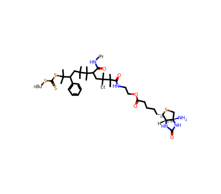 CCCCSC(=S)SC(C)(C)C(CC(C)(C)C(C)(C)C(CC(C)(CC)C(C)(C)C(=O)NCCOC(=O)CCCC[C@@H]1SC[C@]2(N)NC(=O)N[C@H]12)C(=O)NC(C)C)c1ccccc1